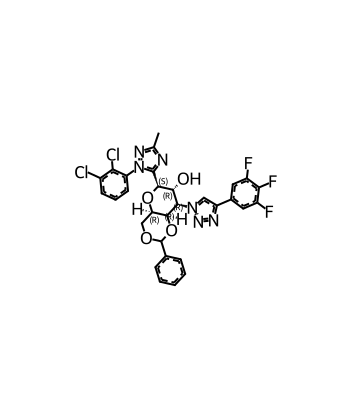 Cc1nc([C@@H]2O[C@@H]3COC(c4ccccc4)O[C@@H]3[C@H](n3cc(-c4cc(F)c(F)c(F)c4)nn3)[C@H]2O)n(-c2cccc(Cl)c2Cl)n1